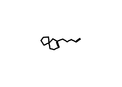 C=CCCCC1=CCCC2(CCCC2)C1